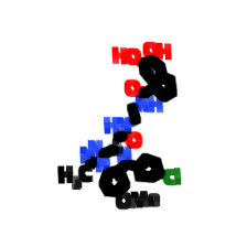 COc1ccc2c(c1)C(c1ccc(Cl)cc1)=N[C@@H](CC(=O)NCCNC(=O)c1cccc3cc(O)c(O)cc13)c1nnc(C)n1-2